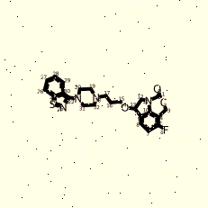 O=C1CCc2c(F)ccc3c2N1CC3OCCCN1CCN(c2nsc3ccccc23)CC1